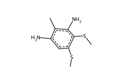 CSc1cc(N)c(C)c(N)c1SC